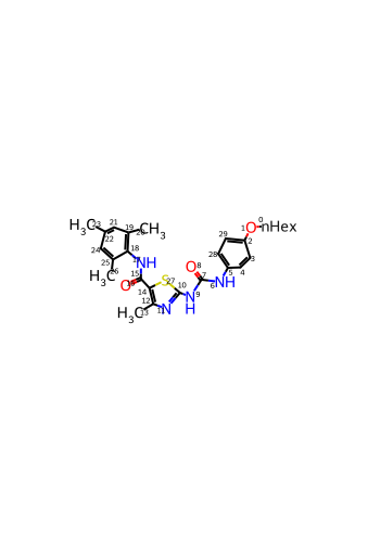 CCCCCCOc1ccc(NC(=O)Nc2nc(C)c(C(=O)Nc3c(C)cc(C)cc3C)s2)cc1